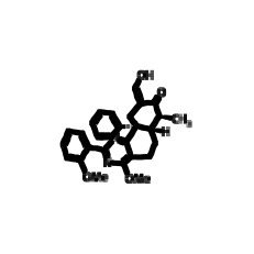 COc1ccccc1-c1nc(OC)c2c(n1)[C@@]1(c3ccccc3)CC(=CO)C(=O)[C@@H](C)[C@@H]1CC2